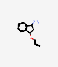 C=CCO[C@H]1CC(N)c2ccccc21